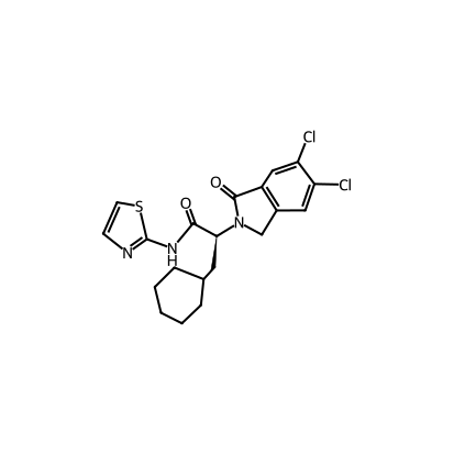 O=C(Nc1nccs1)[C@H](CC1CCCCC1)N1Cc2cc(Cl)c(Cl)cc2C1=O